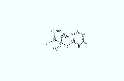 CON(I)C(C)(Cc1ccccc1)OC